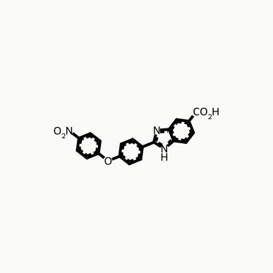 O=C(O)c1ccc2[nH]c(-c3ccc(Oc4ccc([N+](=O)[O-])cc4)cc3)nc2c1